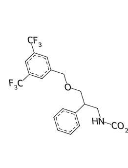 O=C(O)NCC(COCc1cc(C(F)(F)F)cc(C(F)(F)F)c1)c1ccccc1